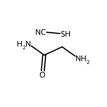 N#CS.NCC(N)=O